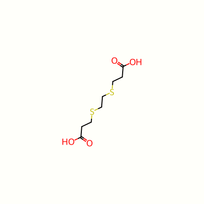 O=C(O)CCSCCSCCC(=O)O